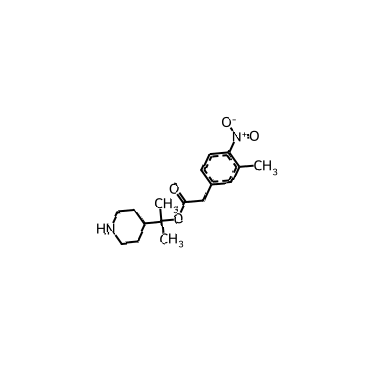 Cc1cc(CC(=O)OC(C)(C)C2CCNCC2)ccc1[N+](=O)[O-]